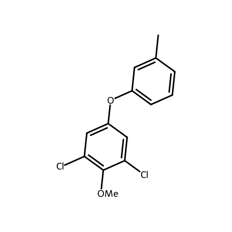 COc1c(Cl)cc(Oc2cccc(C)c2)cc1Cl